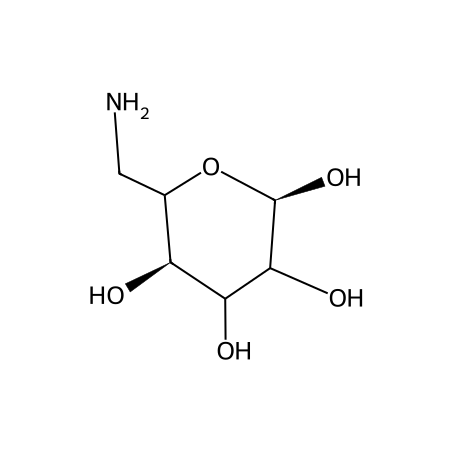 NCC1O[C@@H](O)C(O)C(O)[C@H]1O